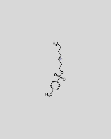 CCC/C=C/CCOS(=O)(=O)c1ccc(C)cc1